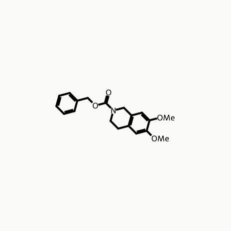 COc1cc2c(cc1OC)CN(C(=O)OCc1ccccc1)CC2